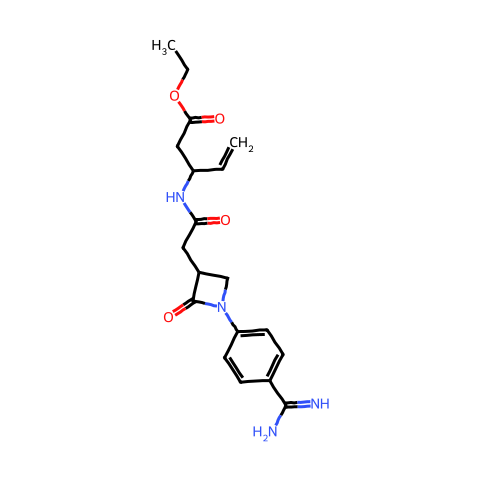 C=CC(CC(=O)OCC)NC(=O)CC1CN(c2ccc(C(=N)N)cc2)C1=O